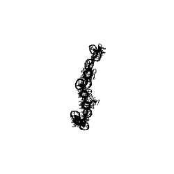 C=C(F)C(=O)OCCOc1ccc(OC(=O)c2ccc(-c3ccc(OCCN4C(=O)C=CC4=O)cc3CC)cc2)cc1